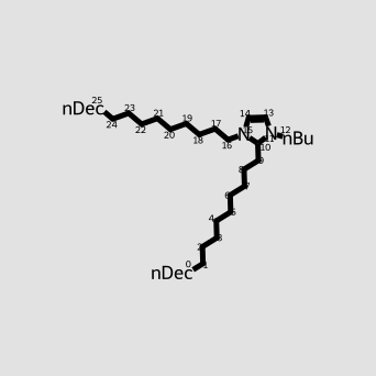 CCCCCCCCCCCCCCCCCCCC1N(CCCC)C=CN1CCCCCCCCCCCCCCCCCCC